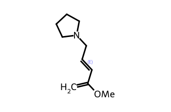 C=C(/C=C/CN1CCCC1)OC